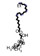 CC/C=C\C/C=C\C/C=C\C/C=C\C/C=C\CCCCCCCC(=O)OCC(O)COP(=O)([O-])OCC[N+](C)(C)C